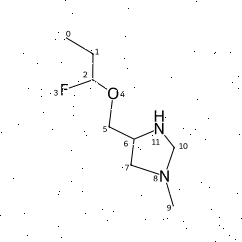 CCC(F)OCC1CN(C)CN1